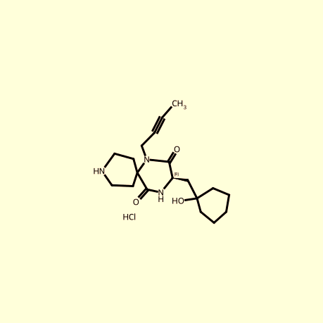 CC#CCN1C(=O)[C@@H](CC2(O)CCCCC2)NC(=O)C12CCNCC2.Cl